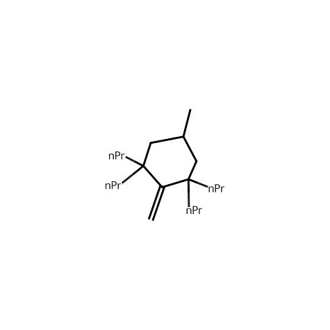 C=C1C(CCC)(CCC)CC(C)CC1(CCC)CCC